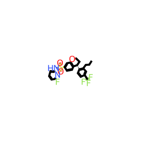 CCCc1cc(C(F)(F)F)ccc1[C@H]1CCOc2cc(S(=O)(=O)Nc3cccc(F)n3)ccc21